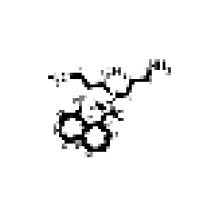 CCC[C@H](C)N(CCCN)S(=O)(=O)c1cccc2cncc(F)c12